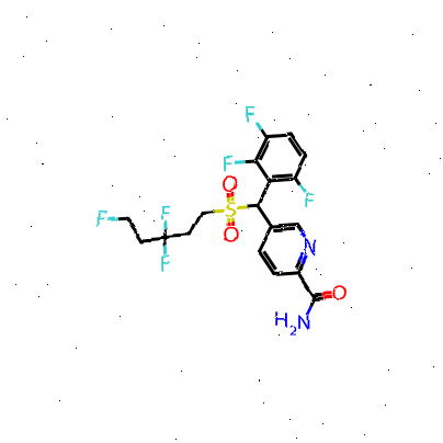 NC(=O)c1ccc(C(c2c(F)ccc(F)c2F)S(=O)(=O)CCC(F)(F)CCF)cn1